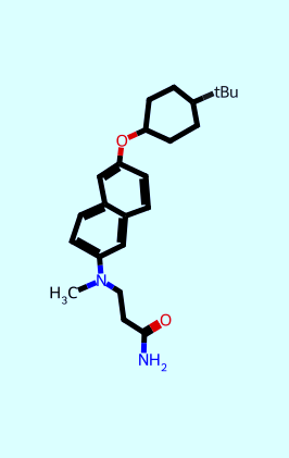 CN(CCC(N)=O)c1ccc2cc(OC3CCC(C(C)(C)C)CC3)ccc2c1